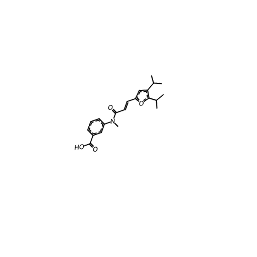 CC(C)c1cc(C=CC(=O)N(C)c2cccc(C(=O)O)c2)oc1C(C)C